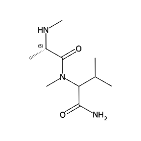 CN[C@@H](C)C(=O)N(C)C(C(N)=O)C(C)C